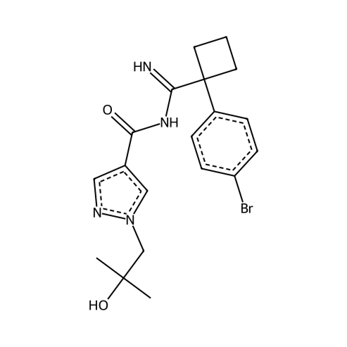 CC(C)(O)Cn1cc(C(=O)NC(=N)C2(c3ccc(Br)cc3)CCC2)cn1